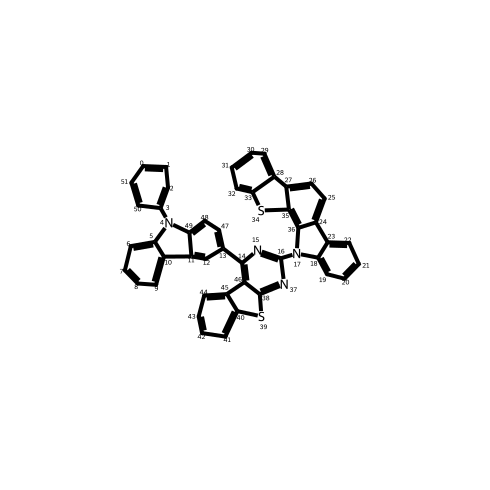 c1ccc(-n2c3ccccc3c3cc(-c4nc(-n5c6ccccc6c6ccc7c8ccccc8sc7c65)nc5sc6ccccc6c45)ccc32)cc1